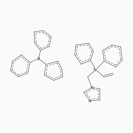 C=C[Si](Cn1ccnc1)(c1ccccc1)c1ccccc1.c1ccc(B(c2ccccc2)c2ccccc2)cc1